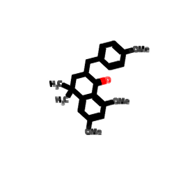 COc1ccc(CC2CC(C)(C)c3cc(OC)cc(OC)c3C2=O)cc1